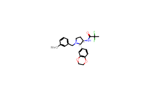 COc1cccc(CN2CC[C@@H](NC(=O)C(C)(F)F)[C@@H]2c2ccc3c(c2)OCCO3)c1